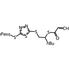 C=CC(=O)SC(CCCC)CSc1nnc(SCCCCC)s1